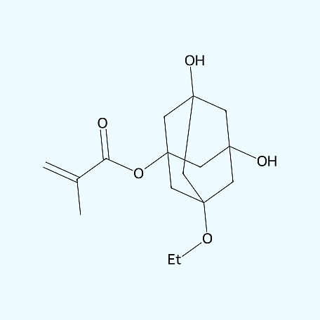 C=C(C)C(=O)OC12CC3(O)CC(O)(CC(OCC)(C3)C1)C2